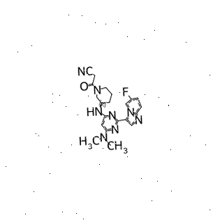 CN(C)c1cc(N[C@@H]2CCCN(C(=O)CC#N)C2)nc(-c2cnc3ccc(F)cn23)n1